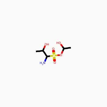 CC(O)OS(=O)(=O)C(N)C(C)O